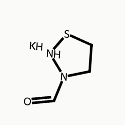 O=CN1CCSN1.[KH]